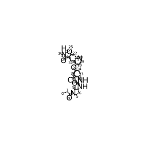 CCC(=O)N1CCC(NC(=O)Nc2ccc(Oc3ccnc4cc(OC)c(C(=O)NC)cc34)cc2Cl)C1